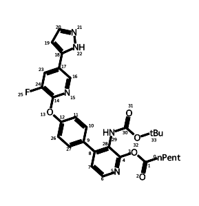 CCCCCC(=O)Oc1nccc(-c2ccc(Oc3ncc(-c4ccn[nH]4)cc3F)cc2)c1NC(=O)OC(C)(C)C